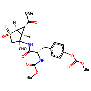 COC(=O)[C@@H]1[C@@H]2[C@H]1S(=O)(=O)C[C@]2(C=O)NC(=O)[C@H](Cc1ccc(OC(=O)OC(C)(C)C)cc1)NC(=O)OC(C)(C)C